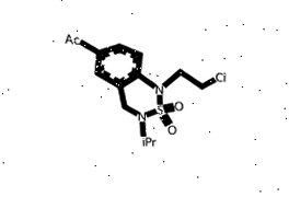 CC(=O)c1ccc2c(c1)CN(C(C)C)S(=O)(=O)N2CCCl